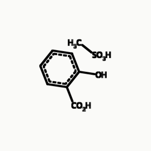 CS(=O)(=O)O.O=C(O)c1ccccc1O